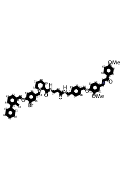 COc1ccc(C(=O)/C=C/c2ccc(OCc3ccc(CNC(=O)CCNC(=O)C4CCCCN4Cc4ccc(OCc5cccc(-c6ccccc6)c5C)c(Br)c4)cc3)c(OC)c2)cc1